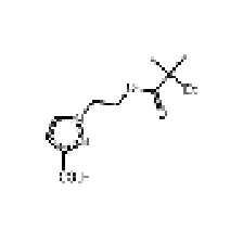 CCC(C)(C)C(=O)OCCn1ccc(C(=O)O)n1